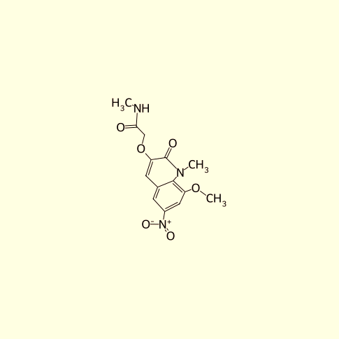 CNC(=O)COc1cc2cc([N+](=O)[O-])cc(OC)c2n(C)c1=O